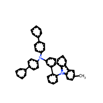 Cc1ccc2c(c1)c1ccccc1n2-c1ccccc1-c1cccc(N(c2ccc(-c3ccccc3)cc2)c2ccc(-c3ccccc3)cc2)c1